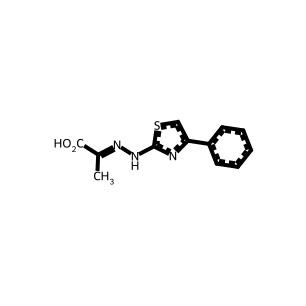 C/C(=N\Nc1nc(-c2ccccc2)cs1)C(=O)O